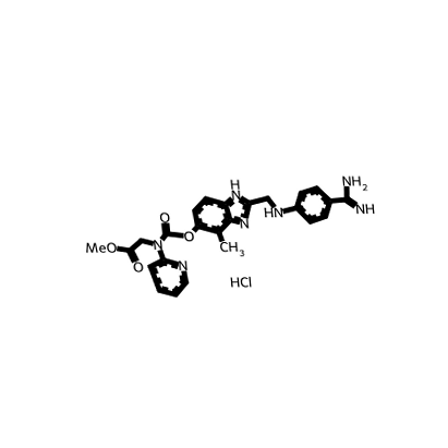 COC(=O)CN(C(=O)Oc1ccc2[nH]c(CNc3ccc(C(=N)N)cc3)nc2c1C)c1ccccn1.Cl